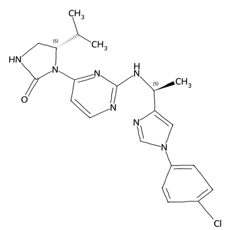 CC(C)[C@H]1CNC(=O)N1c1ccnc(N[C@@H](C)c2cn(-c3ccc(Cl)cc3)cn2)n1